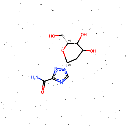 NC(=O)c1ncn([C@H]2CC(O)C(O)[C@@H](CO)O2)n1